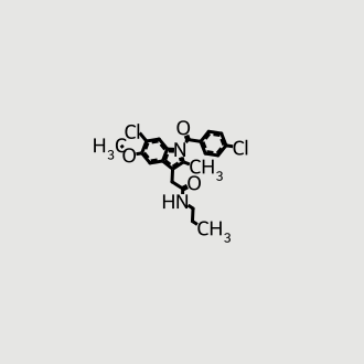 CCCNC(=O)Cc1c(C)n(C(=O)c2ccc(Cl)cc2)c2cc(Cl)c(OC)cc12